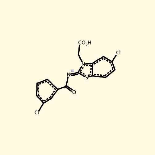 O=C(O)Cn1/c(=N/C(=O)c2cccc(Cl)c2)sc2ccc(Cl)cc21